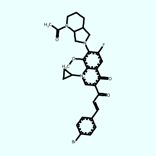 COc1c(N2CC3CCCN(C(C)=O)C3C2)c(F)cc2c(=O)c(C(=O)C=Cc3ccc(Br)cc3)cn(C3CC3)c12